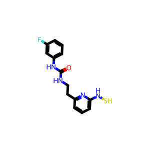 O=C(NCCc1cccc(NS)n1)Nc1cccc(F)c1